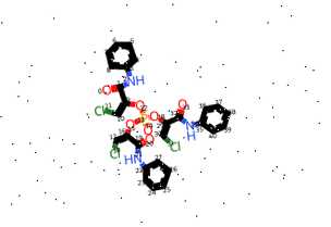 O=C(Nc1ccccc1)/C(=C\Cl)OP(=O)(O/C(=C/Cl)C(=O)Nc1ccccc1)O/C(=C/Cl)C(=O)Nc1ccccc1